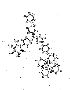 [2H]c1c([2H])c([2H])c(-c2ccc(N(c3ccc(-c4ccccc4)cc3)c3ccc(-c4ccc(-c5ccc6c(c5)C(c5ccccc5)(c5ccccc5)c5ccccc5-6)cc4)s3)cc2)c([2H])c1[2H]